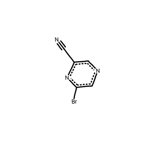 N#Cc1cncc(Br)n1